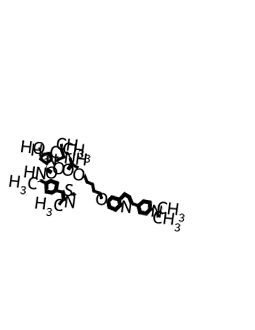 Cc1ncsc1-c1ccc([C@H](C)NC(=O)[C@@H]2C[C@@H](O)CN2C(=O)[C@@H](NC(=O)COCCCCCOc2ccc3nc(-c4ccc(N(C)C)cc4)ccc3c2)C(C)(C)C)cc1